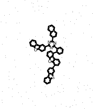 c1ccc(-c2cccc3oc4c(-c5ccc6c(c5)sc5ccccc56)cccc4c23)c(-c2nc(-c3ccc4ccccc4c3)nc(-c3ccc4oc5ccccc5c4c3)n2)c1